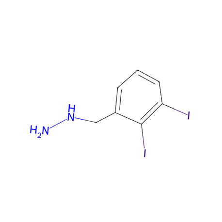 NNCc1cccc(I)c1I